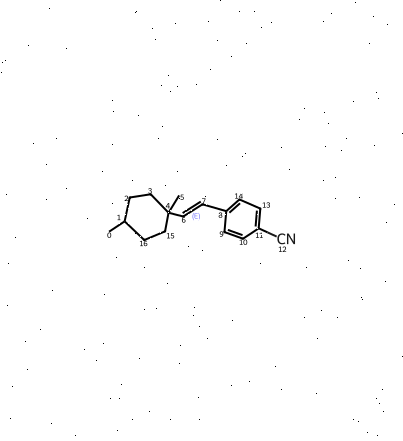 CC1CCC(C)(/C=C/c2ccc(C#N)cc2)CC1